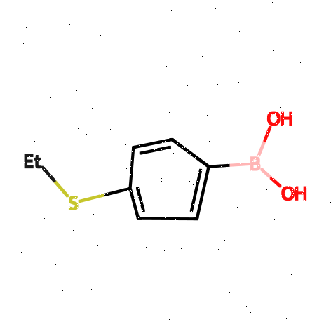 CCSc1ccc(B(O)O)cc1